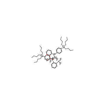 CCCC[Si](CCCC)(CCCC)c1ccc(P(c2ccccc2C(F)(F)F)N(C)P(c2ccc([Si](CCCC)(CCCC)CCCC)cc2)c2ccccc2C(F)(F)F)cc1